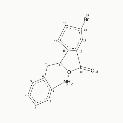 Nc1ccccc1CC1OC(=O)c2cc(Br)ccc21